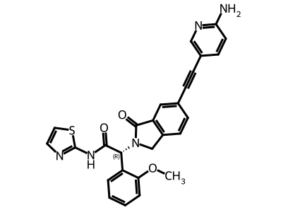 COc1ccccc1[C@H](C(=O)Nc1nccs1)N1Cc2ccc(C#Cc3ccc(N)nc3)cc2C1=O